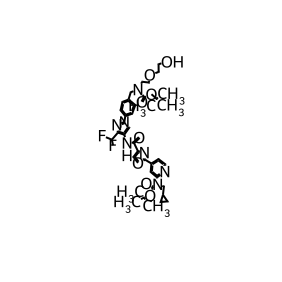 CC(C)(C)OC(=O)N(CCOCCO)Cc1ccc(-n2cc(NC(=O)c3coc(-c4ccnc(N(CC5CC5)C(=O)OC(C)(C)C)c4)n3)c(C(F)F)n2)cc1